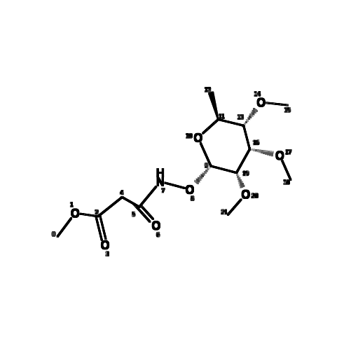 COC(=O)CC(=O)NO[C@@H]1O[C@@H](C)[C@H](OC)[C@H](OC)[C@@H]1OC